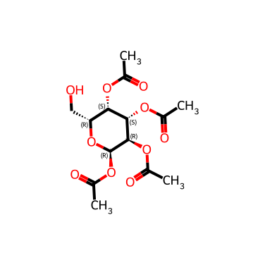 CC(=O)O[C@H]1O[C@H](CO)[C@H](OC(C)=O)[C@H](OC(C)=O)[C@H]1OC(C)=O